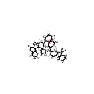 CC1(C)c2ccccc2-c2ccc(N(c3ccccc3)c3ccc(-c4cccc5ccc6oc7cc(-c8ccccc8)ccc7c6c45)cc3)cc21